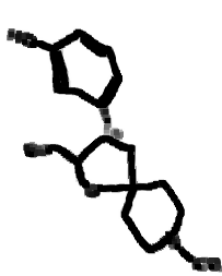 CC(C)(C)C1OC2(CCN(C(=O)O)CC2)C[C@H]1c1cccc(O)c1